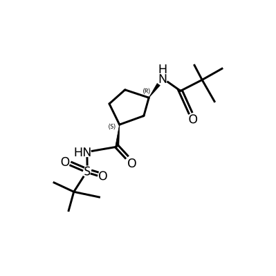 CC(C)(C)C(=O)N[C@@H]1CC[C@H](C(=O)NS(=O)(=O)C(C)(C)C)C1